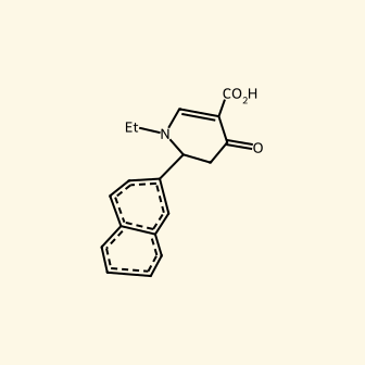 CCN1C=C(C(=O)O)C(=O)CC1c1ccc2ccccc2c1